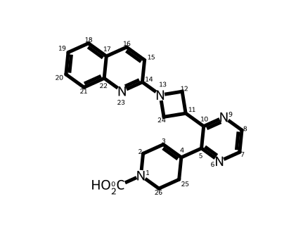 O=C(O)N1CC=C(c2nccnc2C2CN(c3ccc4ccccc4n3)C2)CC1